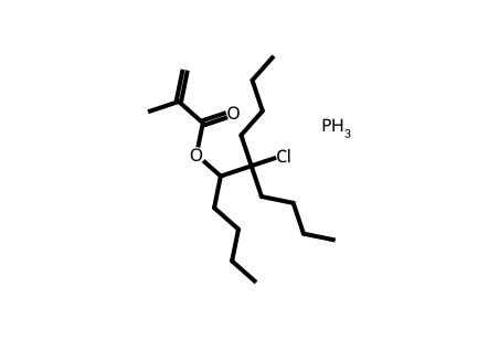 C=C(C)C(=O)OC(CCCC)C(Cl)(CCCC)CCCC.P